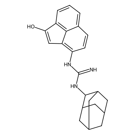 N=C(Nc1ccc2cccc3c2c1C=C3O)NC1C2CC3CC(C2)CC1C3